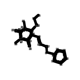 CCOc1c(C=NOCc2ccccc2)c(=O)n(C)c(=O)n1C